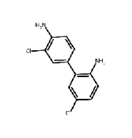 Nc1ccc(-c2cc(Cl)ccc2N)cc1Cl